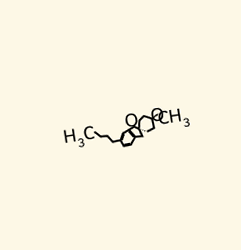 CCCCCc1ccc2c(c1)C(=O)[C@]1(CC[C@H](OC)CC1)C2